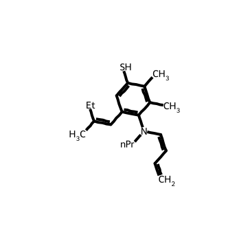 C=C/C=C\N(CCC)c1c(/C=C(/C)CC)cc(S)c(C)c1C